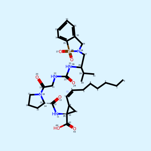 CCCCCC/C=C\C1C[C@]1(NC(=O)[C@@H]1CCCN1C(=O)CNC(=O)NC(CN1Cc2ccccc2S1(=O)=O)C(C)C)C(=O)O